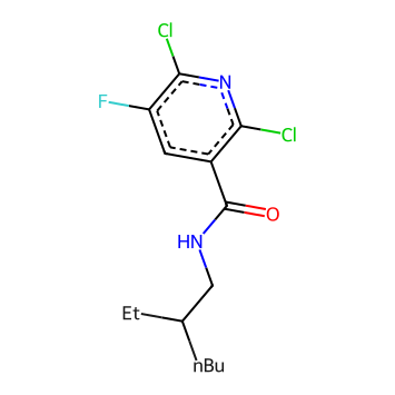 CCCCC(CC)CNC(=O)c1cc(F)c(Cl)nc1Cl